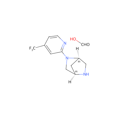 FC(F)(F)c1ccnc(N2C[C@H]3C[C@@H]2CN3)c1.O=CO